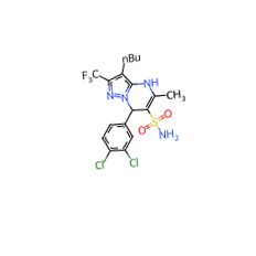 CCCCc1c(C(F)(F)F)nn2c1NC(C)=C(S(N)(=O)=O)C2c1ccc(Cl)c(Cl)c1